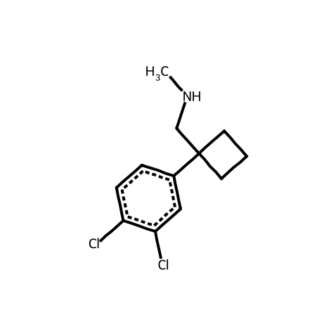 CNCC1(c2ccc(Cl)c(Cl)c2)CCC1